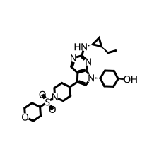 CC[C@@H]1C[C@H]1Nc1ncc2c(C3CCN(S(=O)(=O)C4CCOCC4)CC3)cn([C@H]3CC[C@H](O)CC3)c2n1